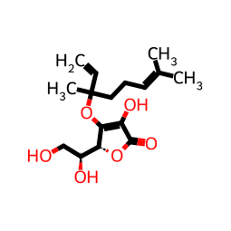 C=CC(C)(CCC=C(C)C)OC1=C(O)C(=O)O[C@@H]1[C@@H](O)CO